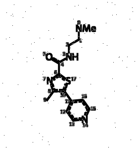 CNCCNC(=O)c1nc(C)c(-c2ccncc2)s1